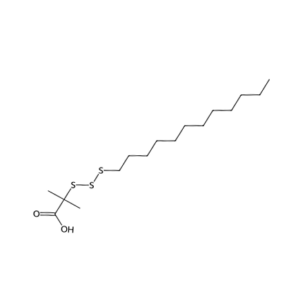 CCCCCCCCCCCCSSSC(C)(C)C(=O)O